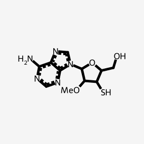 COC1C(S)C(CO)OC1n1cnc2c(N)ncnc21